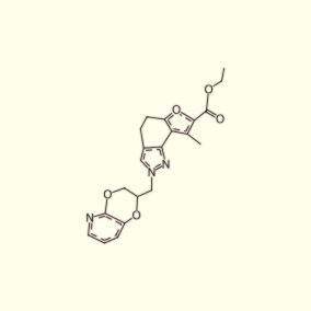 CCOC(=O)c1oc2c(c1C)-c1nn(CC3COc4ncccc4O3)cc1CC2